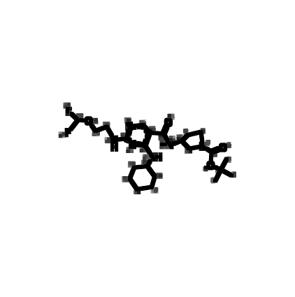 CC(C)(C)OC(=O)N1CC[C@H](NC(=O)c2cnc(NCCOC(F)F)nc2NC2CCCCC2)C1